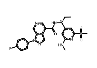 CC[C@H](NC(=O)c1cncc2c1cnn2-c1ccc(F)cc1)c1cc(NC)nc(S(C)(=O)=O)c1